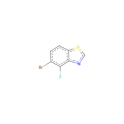 Fc1c(Br)ccc2scnc12